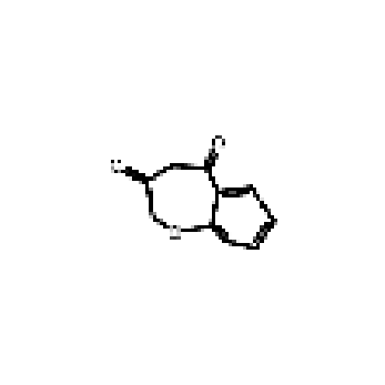 O=C1COc2ccccc2C(=O)C1